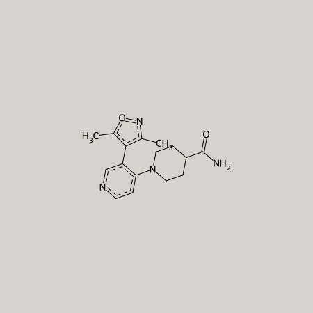 Cc1noc(C)c1-c1cnccc1N1CCC(C(N)=O)CC1